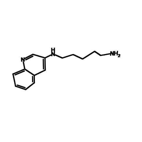 NCCCCCNc1cnc2ccccc2c1